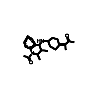 CC(=O)C(C)=C1CCC(NC2c3ccccc3N(C(C)=O)C(C)C2C)CC1